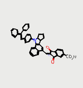 O=C(O)c1ccc2c(c1)C(=O)/C(=C/c1cc3c(c4ccccc14)N(c1ccc(C=C(c4ccccc4)c4ccccc4)cc1)C1CCCC31)C2=O